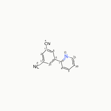 N#Cc1cc(C#N)cc(-c2ccc[c]n2)c1